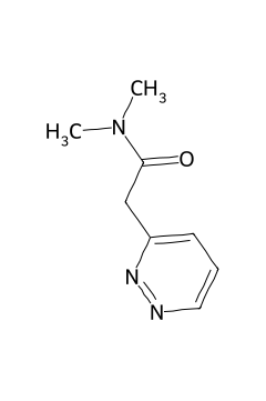 CN(C)C(=O)Cc1cccnn1